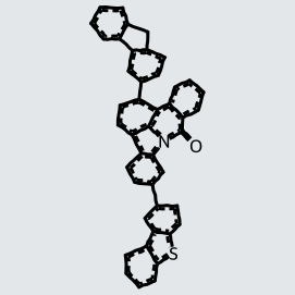 O=c1c2ccccc2c2c(-c3ccc4c(c3)-c3ccccc3C4)ccc3c4ccc(-c5ccc6sc7ccccc7c6c5)cc4n1c32